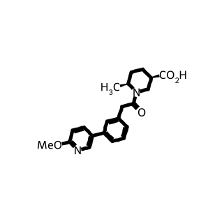 COc1ccc(-c2cccc(CC(=O)N3C[C@H](C(=O)O)CC[C@@H]3C)c2)cn1